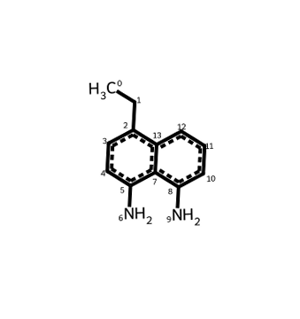 CCc1ccc(N)c2c(N)cccc12